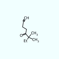 C#CCCC(=O)C(C)(C)CC